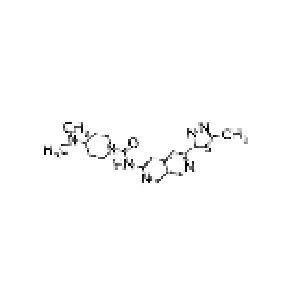 Cc1nnc(-c2cc3cc(NC(=O)N4CCC(N(C)C)CC4)ncc3cn2)s1